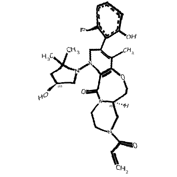 C=CC(=O)N1CCN2C(=O)C3=C(OC[C@H]2C1)C(C)=C(c1c(O)cccc1F)CN3N1C[C@@H](O)CC1(C)C